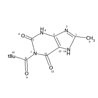 Cc1nc2[nH]c(=O)n(C(=O)C(C)(C)C)c(=O)c2[nH]1